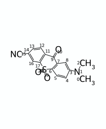 CN(C)c1ccc2c(c1)C(=O)c1ccc(C#N)cc1S2(=O)=O